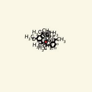 COc1cc(C(C)(C)C)c(N(C(=O)Nc2c(C(C)C)cccc2C(C)C)S(=O)(=O)O)c(C(C)(C)C)c1